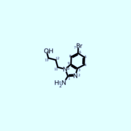 Nc1nc2ccc(Br)cc2n1CCCO